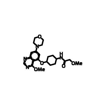 COCC(=O)NC1CCC(Oc2cc(N3CCOCC3)cc3ncnc(OC)c23)CC1